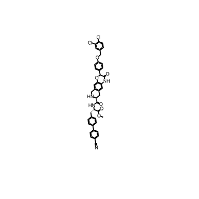 COC(=O)[C@H](Cc1ccc(-c2ccc(C#N)cc2)cc1)NC(=O)[C@@H]1Cc2cc3c(cc2CN1)OC(c1ccc(OCc2ccc(Cl)c(Cl)c2)cc1)C(=O)N3